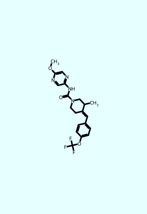 COc1cnc(NC(=O)N2CCC(=Cc3ccc(OC(F)(F)F)cc3)C(C)C2)cn1